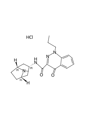 CCCn1nc(C(=O)N[C@H]2C[C@H]3CC[C@@H](C2)N3C)c(=O)c2ccccc21.Cl